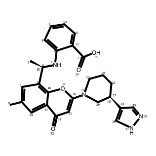 Cc1cc([C@@H](C)Nc2ccccc2C(=O)O)c2oc(N3CCC[C@@H](c4cn[nH]c4)C3)cc(=O)c2c1